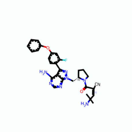 CC(C)(N)/C=C(/C#N)C(=O)N1CCC[C@H]1Cn1nc(-c2ccc(Oc3ccccc3)cc2F)c2c(N)ncnc21